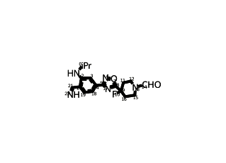 CC(C)Nc1cc(-c2noc(C3(F)CCN(C=O)CC3)n2)ccc1C=N